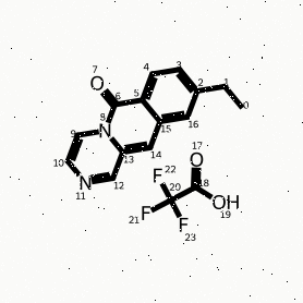 CCc1ccc2c(=O)n3ccncc3cc2c1.O=C(O)C(F)(F)F